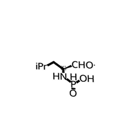 CC(C)C[C@@H]([C]=O)N[PH](=O)O